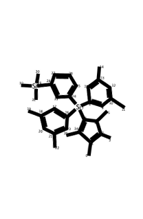 CC1=C(C)C(C)C([Si](c2cc(C)cc(C)c2)(c2cc(C)cc(C)c2)c2cccc([Si](C)(C)C)c2)=C1C